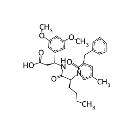 CCCC[C@@H](C(=O)N[C@@H](CC(=O)O)c1cc(OC)cc(OC)c1)n1cc(C)cc(Cc2ccccc2)c1=O